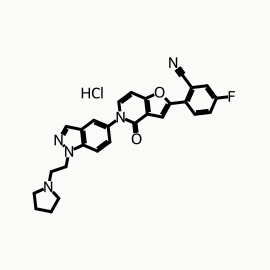 Cl.N#Cc1cc(F)ccc1-c1cc2c(=O)n(-c3ccc4c(cnn4CCN4CCCC4)c3)ccc2o1